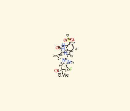 COC(=O)c1cc(F)c2c(c1)nc(-c1cc3ccc(S(C)(=O)=O)c4c3n1C(C1CC1)C(=O)N4)n2C